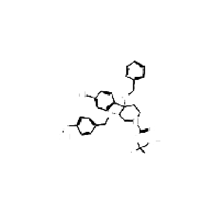 COc1ccc(CO[C@@H]2CN(C(=O)OC(C)(C)C)CC[C@@]2(OCc2ccccc2)c2ccc(Cl)cc2)cc1